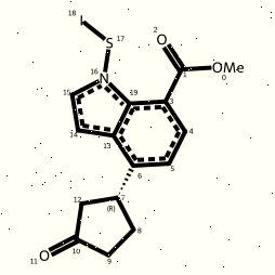 COC(=O)c1ccc([C@@H]2CCC(=O)C2)c2ccn(SI)c12